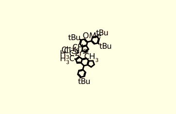 COc1c(C(C)(C)C)cc2c(c1-c1cc(C(C)(C)C)cc(C(C)(C)C)c1)C=C(C)[CH]2[Zr+2]([C]1=C(C)C=C2C1=CC1=C(CCC1)C2c1ccc(C(C)(C)C)cc1)=[Si](C)C.[Cl-].[Cl-]